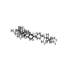 BC(B)(B)NCCN1CCN(c2ccc(OC(B)(B)C(B)(B)OC(B)(B)B)cc2)CC1